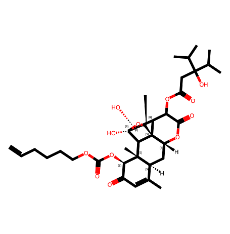 C=CCCCCOC(=O)O[C@@H]1C(=O)C=C(C)[C@@H]2C[C@H]3OC(=O)C(OC(=O)CC(O)(C(C)C)C(C)C)C4[C@@H](C)[C@@H](O)[C@]5(O)OC[C@@]43C5[C@@]12C